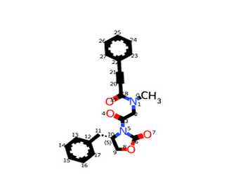 CN(CC(=O)N1C(=O)OC[C@@H]1Cc1ccccc1)C(=O)C#Cc1ccccc1